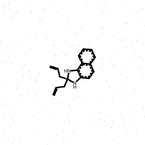 C=CCC1(CC=C)Nc2ccc3ccccc3c2N1